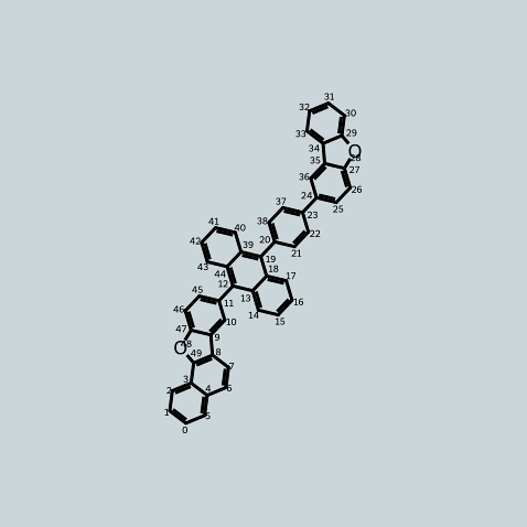 c1ccc2c(c1)ccc1c3cc(-c4c5ccccc5c(-c5ccc(-c6ccc7oc8ccccc8c7c6)cc5)c5ccccc45)ccc3oc21